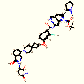 CN1CCC[C@@H]1c1cc2cnc(NC(=O)c3ccc(OC4CC5(CCN(c6cccc7c6CN(C6CCC(=O)NC6=O)C7=O)CC5)C4)cc3F)cc2n1C(=O)OC(C)(C)C